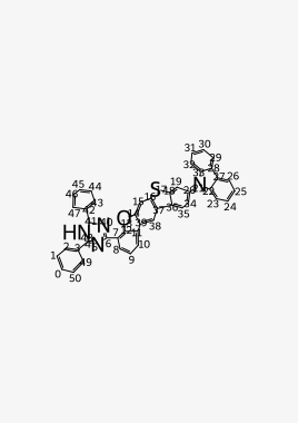 c1ccc(C2=NC(c3cccc4c3oc3cc5sc6cc(-n7c8ccccc8c8ccccc87)ccc6c5cc34)=NC(c3ccccc3)N2)cc1